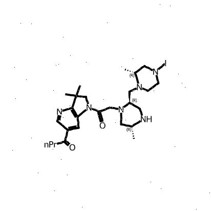 CCCC(=O)c1cnc2c(c1)N(C(=O)CN1C[C@@H](C)NC[C@@H]1CN1CCN(I)C[C@H]1C)CC2(C)C